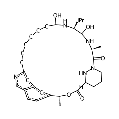 CC(C)[C@@H]1NC(O)CCCCCCc2cc3cc(ccc3cn2)[C@@H](C)OC(=O)[C@@H]2CCCN(N2)C(=O)[C@H](C)NC1O